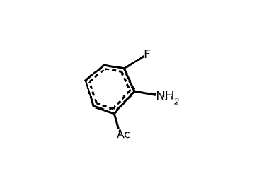 CC(=O)c1cccc(F)c1N